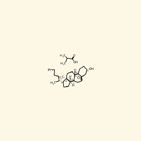 CC(C)C(=O)O.CC(C)CCCC(C)[C@H]1CC[C@H]2[C@@H]3CC=C4C[C@@H](O)CC[C@]4(C)[C@H]3CC[C@]12C